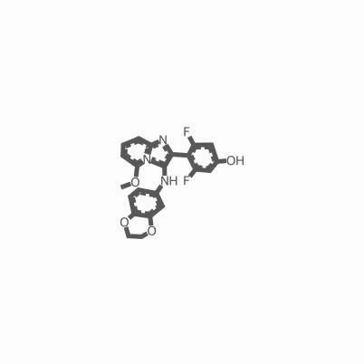 COc1cccc2nc(-c3c(F)cc(O)cc3F)c(Nc3ccc4c(c3)OCCO4)n12